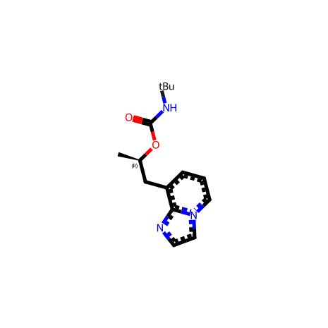 C[C@H](Cc1cccn2ccnc12)OC(=O)NC(C)(C)C